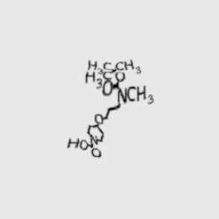 CN(CCCOC1CCN(C(=O)O)CC1)C(=O)OC(C)(C)C